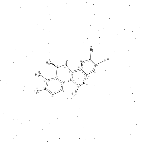 Cc1nc(N[C@H](C)c2cccc(C(F)(F)F)c2C)c2cc(Br)c(F)cc2n1